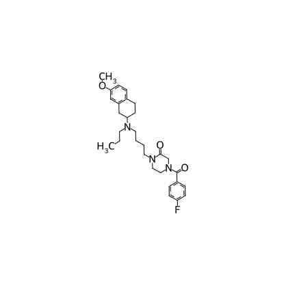 CCCN(CCCCN1CCN(C(=O)c2ccc(F)cc2)CC1=O)C1CCc2ccc(OC)cc2C1